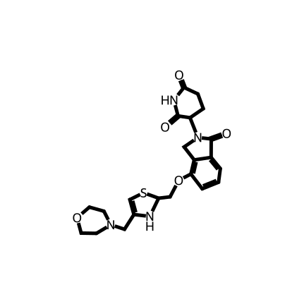 O=C1CCC(N2Cc3c(OCC4NC(CN5CCOCC5)=CS4)cccc3C2=O)C(=O)N1